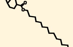 CCCCCCCCCCCCCCOC(=O)C1CCC2OC2C1